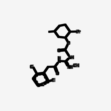 CC1CCC(C(C)C)C(OC(=O)NC(=N)NC(=O)Cc2c(Cl)cccc2Cl)C1.Cl